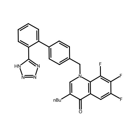 CCCCc1cn(Cc2ccc(-c3ccccc3-c3nnn[nH]3)cc2)c2c(F)c(F)c(F)cc2c1=O